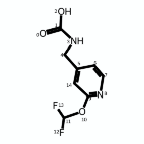 O=C(O)NCc1ccnc(OC(F)F)c1